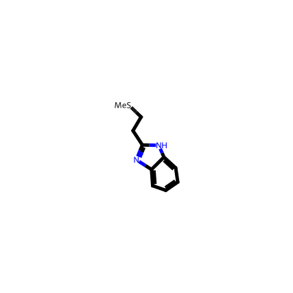 CSCCc1nc2ccccc2[nH]1